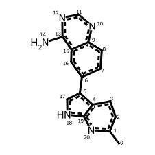 Cc1ccc2c(-c3ccc4ncnc(N)c4c3)c[nH]c2n1